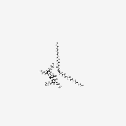 CCCCCCCCCCCCCCCCC[CH2][Ni][CH2]CCCCCCCCCCCCCCCCC.CCCCCc1cc(CCCCC)cc(C2=CC(CC)=C(c3cc(CCCCC)cc(CCCCC)c3)[N+]2=[N-])c1